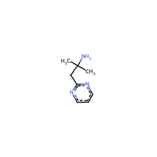 CC(C)(N)Cc1ncccn1